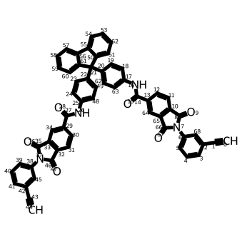 C#Cc1cccc(N2C(=O)c3ccc(C(=O)Nc4ccc(C5(c6ccc(NC(=O)c7ccc8c(c7)C(=O)N(c7cccc(C#C)c7)C8=O)cc6)c6ccccc6-c6ccccc65)cc4)cc3C2=O)c1